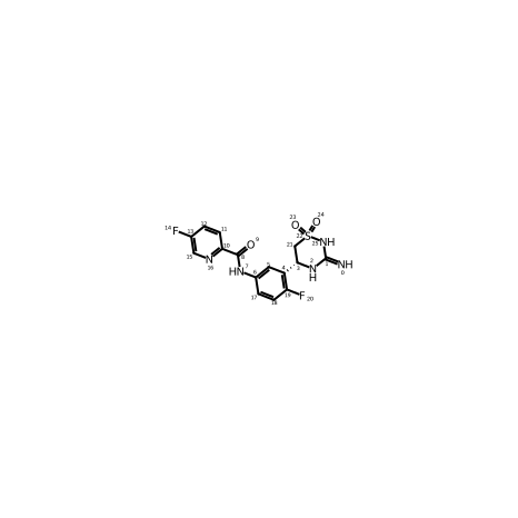 N=C1N[C@H](c2cc(NC(=O)c3ccc(F)cn3)ccc2F)CS(=O)(=O)N1